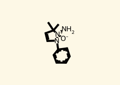 CC1(C)C=CN(c2ccccc2)[N+]1(N)[O-]